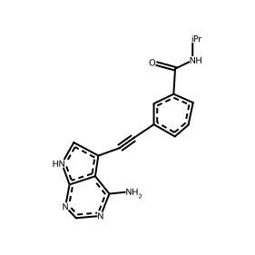 CC(C)NC(=O)c1cccc(C#Cc2c[nH]c3ncnc(N)c23)c1